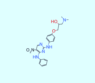 CN(C)CC(O)COc1ccc(Nc2ncc([N+](=O)[O-])c(Nc3ccccc3)n2)cc1